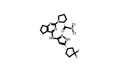 CCN(CC)C(=O)[C@H]1CCCN1c1nc2c(c(Nc3cc([C@H]4CCC(F)(F)C4)[nH]n3)n1)CCC2